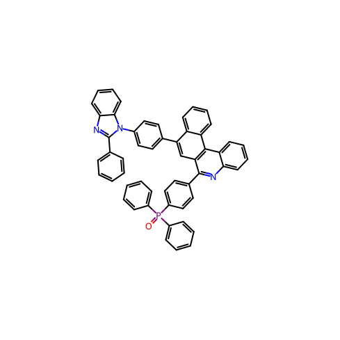 O=P(c1ccccc1)(c1ccccc1)c1ccc(-c2nc3ccccc3c3c2cc(-c2ccc(-n4c(-c5ccccc5)nc5ccccc54)cc2)c2ccccc23)cc1